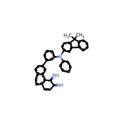 CC1(C)c2ccccc2-c2cc(N(c3ccccc3)c3cccc(-c4ccc5ccc6c(c5c4)C(=N)C(=N)C=C6)c3)ccc21